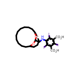 O=C(O)c1c(I)c(NCC2OC3CCCCCCCCCCC(CCCC3)O2)c(I)c(C(=O)O)c1I